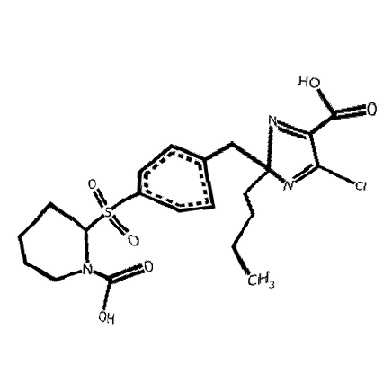 CCCCC1(Cc2ccc(S(=O)(=O)C3CCCCN3C(=O)O)cc2)N=C(Cl)C(C(=O)O)=N1